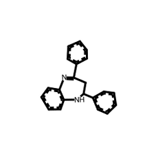 c1ccc(C2=Nc3ccccc3NC(c3ccccc3)C2)cc1